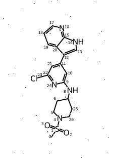 CS(=O)(=O)N1CCC(Nc2cc(-c3c[nH]c4ncccc34)cc(Cl)n2)CC1